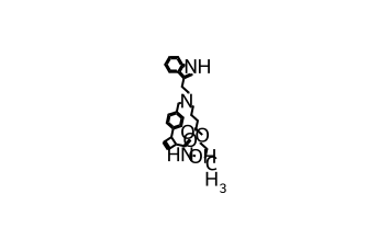 CCCCOC(=O)CCCN(CCc1c[nH]c2ccccc12)Cc1ccc(C2C#CC2C(=O)NO)cc1